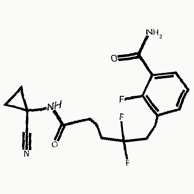 N#CC1(NC(=O)[CH]CC(F)(F)Cc2cccc(C(N)=O)c2F)CC1